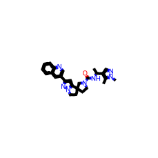 Cc1c(C(C)NC(=O)N2CCC3(CCn4nc(-c5cnc6ccccc6c5)cc43)C2)cnn1C